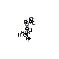 CC(CSCC(F)(F)F)NC(=O)c1ccc(/C=C/C(c2cc(Cl)c(Cl)c(Cl)c2)C(F)(F)F)cc1Cl